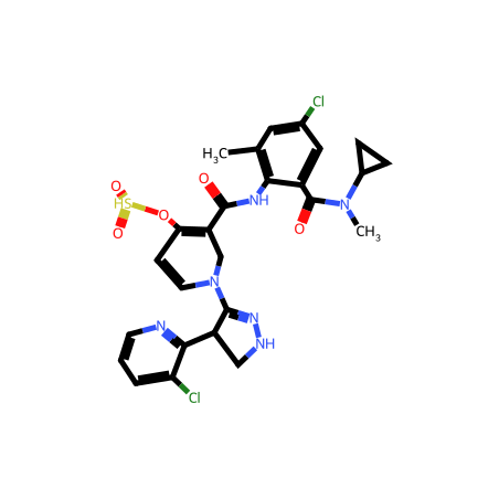 Cc1cc(Cl)cc(C(=O)N(C)C2CC2)c1NC(=O)C1=C(O[SH](=O)=O)C=CN(C2=NNCC2c2ncccc2Cl)C1